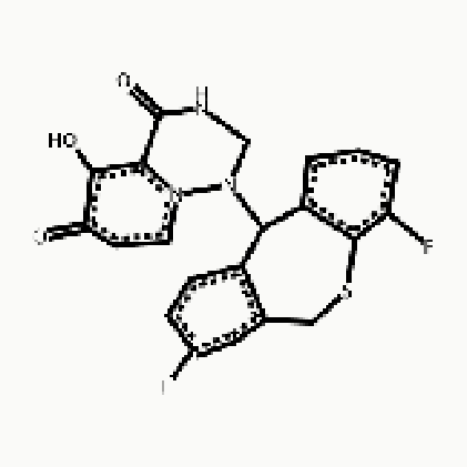 O=C1NCN(C2c3ccc(F)cc3CSc3c(F)cccc32)n2ccc(=O)c(O)c21